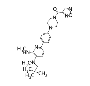 CNc1nc(-c2ccc(N3CCN(C(=O)c4cnon4)CC3)cc2)ccc1N(C)CC(C)(C)C